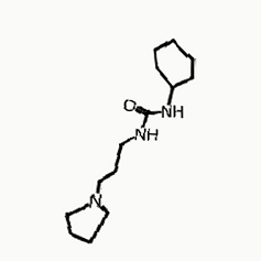 O=C(NCCCN1CCCC1)NC1CCCCC1